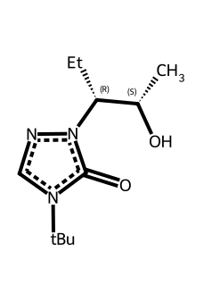 CC[C@H]([C@H](C)O)n1ncn(C(C)(C)C)c1=O